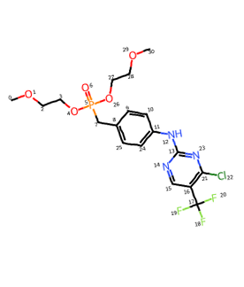 COCCOP(=O)(Cc1ccc(Nc2ncc(C(F)(F)F)c(Cl)n2)cc1)OCCOC